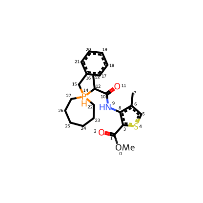 COC(=O)c1scc(C)c1NC(=O)C(C)[PH]1(Cc2ccccc2)CCCCCC1